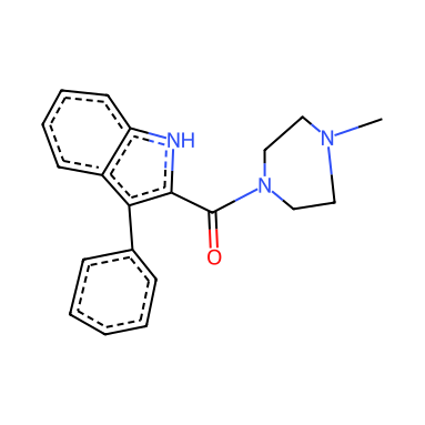 CN1CCN(C(=O)c2[nH]c3ccccc3c2-c2ccccc2)CC1